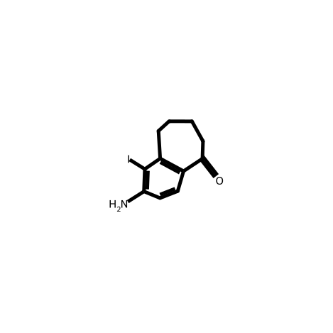 Nc1ccc2c(c1I)CCCCC2=O